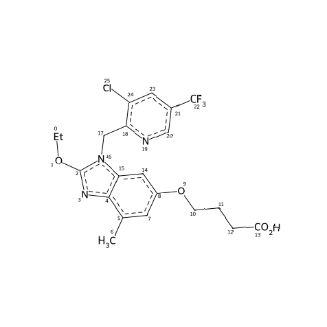 CCOc1nc2c(C)cc(OCCCC(=O)O)cc2n1Cc1ncc(C(F)(F)F)cc1Cl